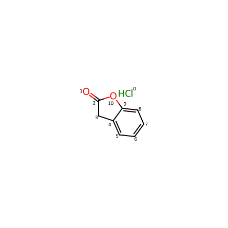 Cl.O=C1Cc2ccccc2O1